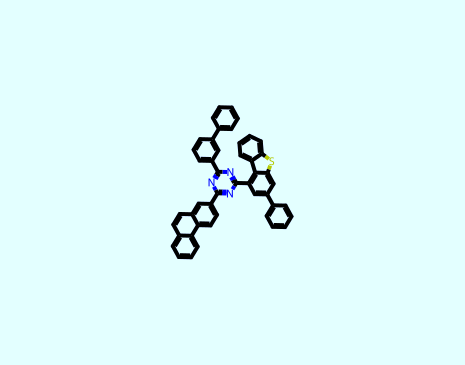 c1ccc(-c2cccc(-c3nc(-c4ccc5c(ccc6ccccc65)c4)nc(-c4cc(-c5ccccc5)cc5sc6ccccc6c45)n3)c2)cc1